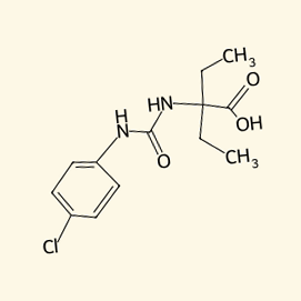 CCC(CC)(NC(=O)Nc1ccc(Cl)cc1)C(=O)O